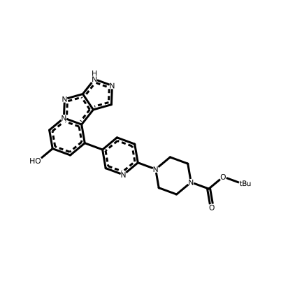 CC(C)(C)OC(=O)N1CCN(c2ccc(-c3cc(O)cn4nc5[nH]ncc5c34)cn2)CC1